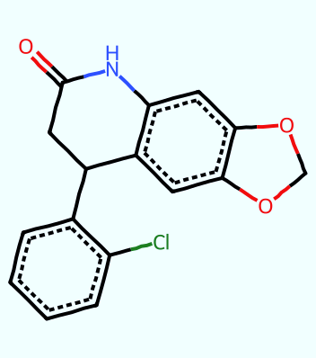 O=C1CC(c2ccccc2Cl)c2cc3c(cc2N1)OCO3